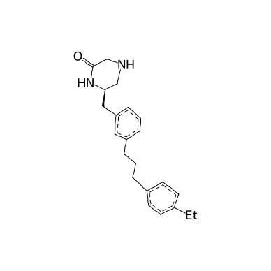 CCc1ccc(CCCc2cccc(C[C@@H]3CNCC(=O)N3)c2)cc1